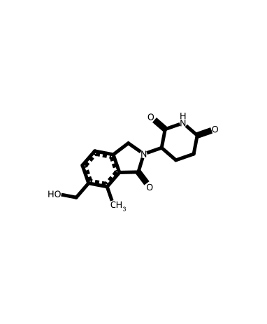 Cc1c(CO)ccc2c1C(=O)N(C1CCC(=O)NC1=O)C2